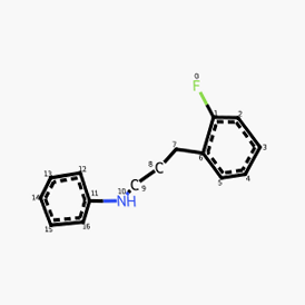 Fc1ccccc1CCCNc1cc[c]cc1